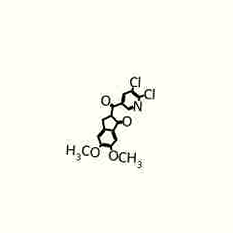 COc1cc2c(cc1OC)C(=O)C(C(=O)c1cnc(Cl)c(Cl)c1)C2